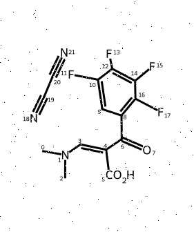 CN(C)C=C(C(=O)O)C(=O)c1cc(F)c(F)c(F)c1F.N#CC#N